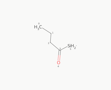 CCCC(=O)[SiH2]